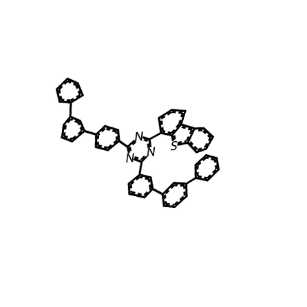 c1ccc(-c2cccc(-c3ccc(-c4nc(-c5cccc(-c6cccc(-c7ccccc7)c6)c5)nc(-c5cccc6c5sc5ccccc56)n4)cc3)c2)cc1